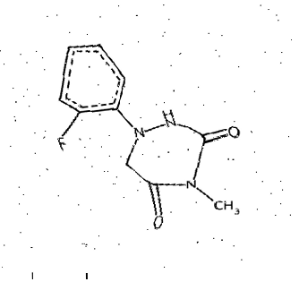 CN1C(=O)CN(c2ccccc2F)NC1=O